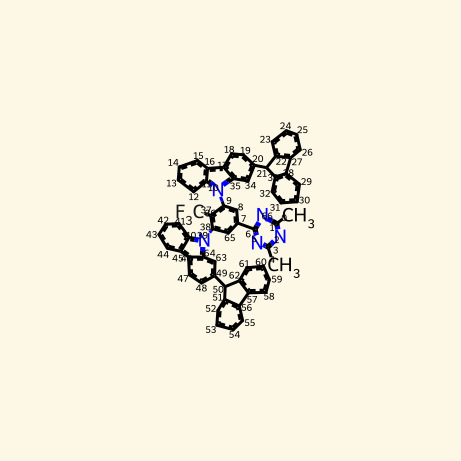 Cc1nc(C)nc(-c2cc(-n3c4ccccc4c4ccc(C5c6ccccc6-c6ccccc65)cc43)c(C(F)(F)F)c(-n3c4ccccc4c4ccc(C5c6ccccc6-c6ccccc65)cc43)c2)n1